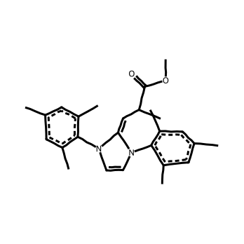 COC(=O)C(C)C=C1N(c2c(C)cc(C)cc2C)C=CN1c1c(C)cc(C)cc1C